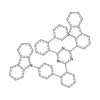 c1ccc(-c2ccccc2-c2nc(-c3ccccc3-c3ccc(-n4c5ccccc5c5ccccc54)cc3)nc(-c3cccc4c3sc3ccccc34)n2)cc1